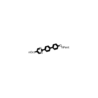 CCCCCCCCc1cnc(-c2ccc(-c3ccc(OCCCCC)cc3)cc2)nc1